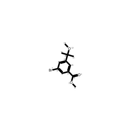 COC(=O)c1cc(Br)cc(C(C)(C)OC)c1